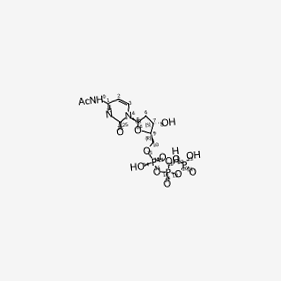 CC(=O)Nc1ccn([C@H]2C[C@H](O)[C@@H](COP(=O)(O)OP(=O)(O)OP(=O)(O)O)O2)c(=O)n1